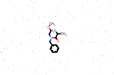 COCCN(Cc1ccccc1)C(=O)C(C)C